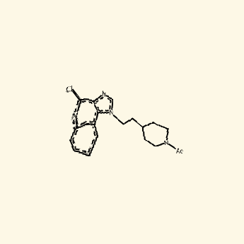 CC(=O)N1CCC(CCn2cnc3c(Cl)nc4ccccc4c32)CC1